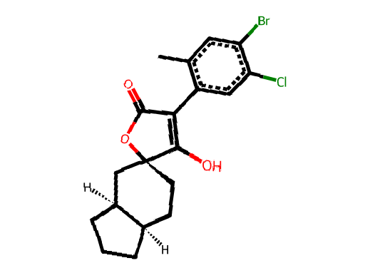 Cc1cc(Br)c(Cl)cc1C1=C(O)[C@@]2(CC[C@H]3CCC[C@H]3C2)OC1=O